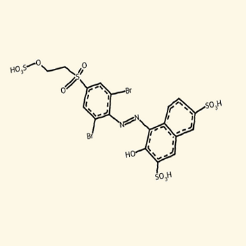 O=S(=O)(O)OCCS(=O)(=O)c1cc(Br)c(N=Nc2c(O)c(S(=O)(=O)O)cc3cc(S(=O)(=O)O)ccc23)c(Br)c1